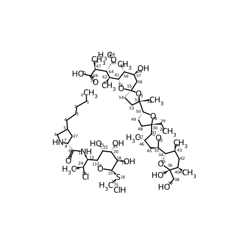 CCCCCC1CN[C@@H](C(=O)N[C@@H]([C@H]2O[C@H](SC)[C@H](O)[C@@H](O)[C@H]2O)[C@H](C)Cl)C1.CC[C@@]1([C@@H]2O[C@@H]([C@H]3O[C@@](O)(CO)[C@H](C)C[C@@H]3C)C[C@@H]2C)CC[C@H]([C@]2(C)CC[C@]3(C[C@H](O)[C@@H](C)[C@@H]([C@@H](C)[C@@H](OC)[C@H](C)C(=O)O)O3)O2)O1.Cl